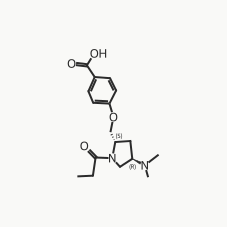 CCC(=O)N1C[C@H](N(C)C)C[C@H]1COc1ccc(C(=O)O)cc1